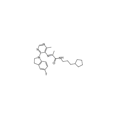 C/C(=N\c1c(C)ncnc1N1CCc2cc(F)ccc21)C(=O)NCCCC1CCCC1